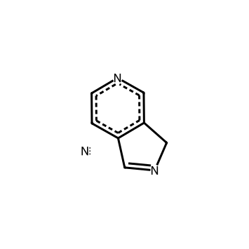 C1=NCc2cnccc21.[N]